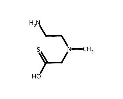 CN(CCN)CC(O)=S